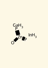 [GaH3].[InH3].[O]=[Zn](#[P])#[P]